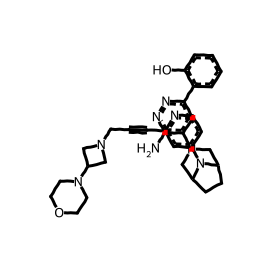 Nc1nnc(-c2ccccc2O)cc1N1CC2CCC(C1)N2c1ccnc(C#CCN2CC(N3CCOCC3)C2)c1